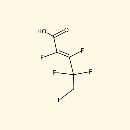 O=C(O)C(F)=C(F)C(F)(F)CF